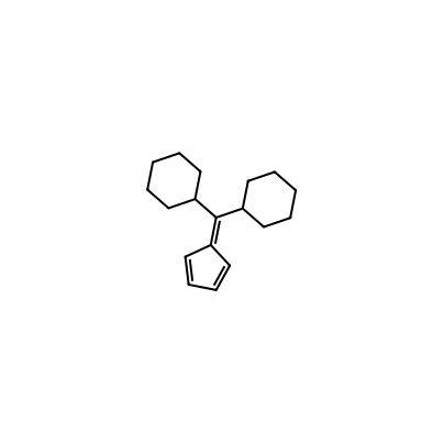 C1=CC(=C(C2CCCCC2)C2CCCCC2)C=C1